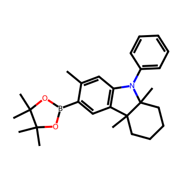 Cc1cc2c(cc1B1OC(C)(C)C(C)(C)O1)C1(C)CCCCC1(C)N2c1ccccc1